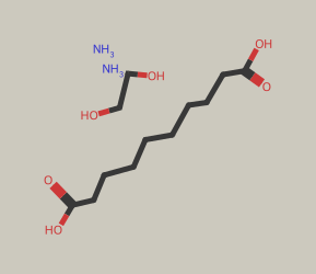 N.N.O=C(O)CCCCCCCCC(=O)O.OCCO